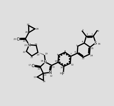 CC1=C(C)C2CC(c3ccc(C4=NC5(CC5)C(=O)N4C[C@@H]4CCN(C(=O)C5CC5)C4)c(F)c3)=CC=C2S1